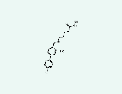 Cl.O=C(CCCCNCc1ccc(-c2ccc(Cl)cc2)cc1)NO